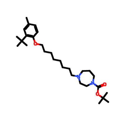 Cc1ccc(OCCCCCCCCN2CCCN(C(=O)OC(C)(C)C)CC2)c(C(C)(C)C)c1